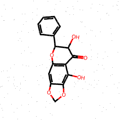 O=C1c2c(cc3c(c2O)OCO3)OC(c2ccccc2)C1O